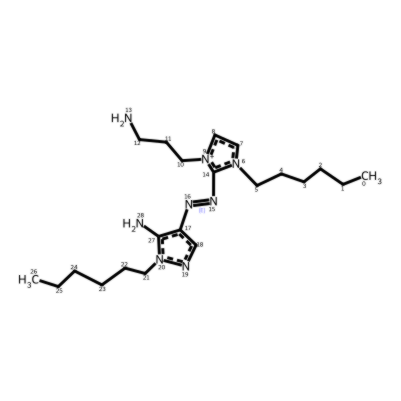 CCCCCCn1cc[n+](CCCN)c1/N=N/c1cnn(CCCCCC)c1N